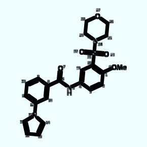 COc1ccc(NC(=O)c2cccc(-n3cccc3)c2)cc1S(=O)(=O)N1CCOCC1